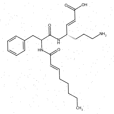 CCCCC/C=C/C(=O)NC(Cc1ccccc1)C(=O)N[C@H](/C=C/C(=O)O)CCCN